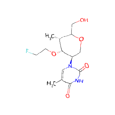 Cc1cn([C@@H]2COC(CO)[C@@H](C)[C@H]2OCCF)c(=O)[nH]c1=O